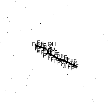 O=C(O)C(=C(F)C(F)(F)C(F)(F)C(F)(F)C(F)(F)C(F)(F)C(F)(F)C(F)(F)C(F)(F)F)C(F)(F)C(F)(F)C(F)(F)F